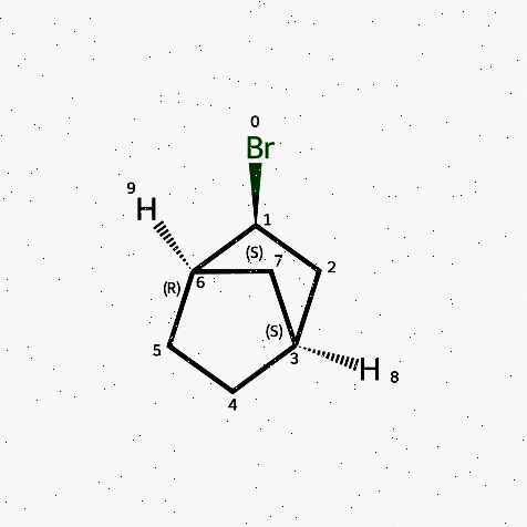 Br[C@H]1C[C@H]2CC[C@@H]1C2